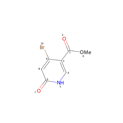 COC(=O)c1c[nH]c(=O)cc1Br